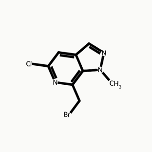 Cn1ncc2cc(Cl)nc(CBr)c21